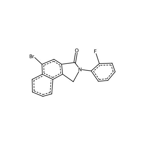 O=C1c2cc(Br)c3ccccc3c2CN1c1ccccc1F